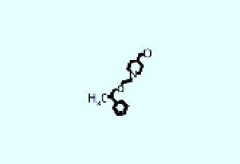 CC(COCCN1CCC(C=O)CC1)c1ccccc1